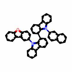 c1ccc2cc(-n3c4ccccc4c4cccc(-c5cccc6c7ccccc7n(-c7ccc8oc9ccccc9c8c7)c56)c43)ccc2c1